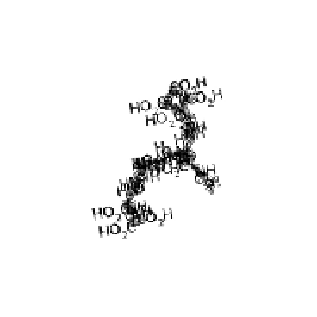 Cc1ccc(CC(=O)NCCCC[C@H](NC(=O)C(CCCCNC(=S)Nc2ccc(CC(C(=O)O)N3CCN(CC(=O)O)CCN(CC(=O)O)CCN(CC(=O)O)CC3)cc2)NC(=O)CNC(=O)CNC(=O)CNC(=O)Cn2nncc2-c2cccc(NC(=O)NCCCCC(NC(=O)NC(CCC(=O)O)C(=O)O)C(=O)O)c2)C(=O)O)cc1